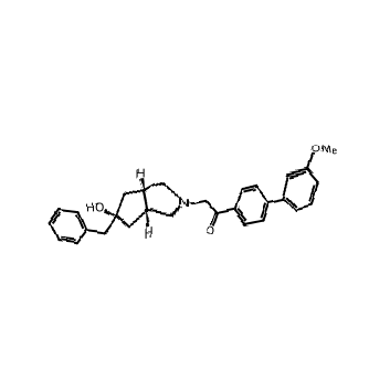 COc1cccc(-c2ccc(C(=O)CN3C[C@@H]4C[C@](O)(Cc5ccccc5)C[C@@H]4C3)cc2)c1